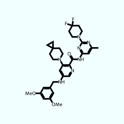 COc1cc(CNc2cnc(C(=O)Nc3cc(C)nc(N4CCC(F)(F)CC4)n3)c(N3CCC4(CC3)CC4)c2)cc(OC)c1